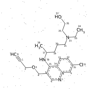 C#CCOCc1cnc2cc(Cl)ccc2c1NC(C)CCCN(CC)CCO